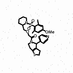 COc1cc(C)c(S(=O)(=O)N2CCCCC2COCC(=O)N2CCC3=C(CCS3)C2c2ccncc2)c(C)c1